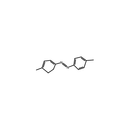 CC1=CC=C(N=Nc2ccc(C)cc2)CC1